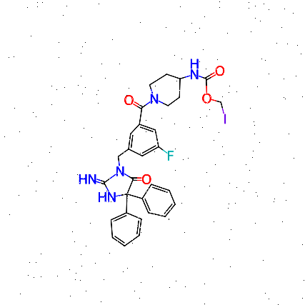 N=C1NC(c2ccccc2)(c2ccccc2)C(=O)N1Cc1cc(F)cc(C(=O)N2CCC(NC(=O)OCI)CC2)c1